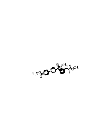 COC(=O)NCc1cccc2c1n(C)c(=O)n2C1CCN(C2CCN(C(=O)OC)CC2)CC1